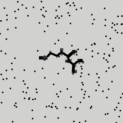 N=C(N)NC(=N)NCCC(=O)O